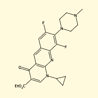 CCOC(=O)c1cn(C2CC2)c2nc3c(F)c(N4CCN(C)CC4)c(F)cc3cc2c1=O